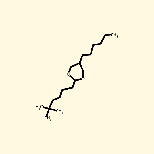 CCCCCCC1COC(CCCCC(C)(C)C)OC1